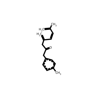 C=C(C)/C=C\C(=C)CC(=O)Cc1ccc(C)cc1